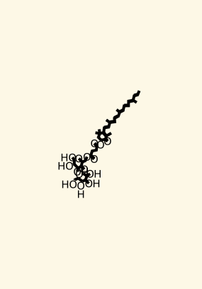 C/C=C/C(C)=C/C=C/C=C(C)/C=C/C=C(C)/C=C/C1=C(C)C(=O)C(OC(=O)CCC(=O)OCC2OC(O)C(O)C(O)C2OC2OC(CO)C(O)C(O)C2O)CC1(C)C